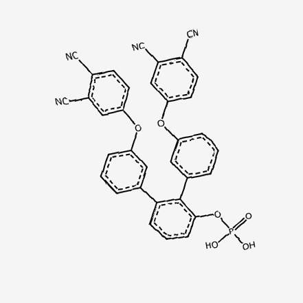 N#Cc1ccc(Oc2cccc(-c3cccc(OP(=O)(O)O)c3-c3cccc(Oc4ccc(C#N)c(C#N)c4)c3)c2)cc1C#N